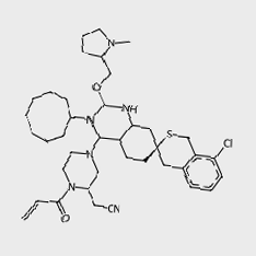 C=CC(=O)N1CCN(C2C3CC[C@@]4(Cc5cccc(Cl)c5CS4)CC3NC(OCC3CCCN3C)N2C2CCCCCCC2)CC1CC#N